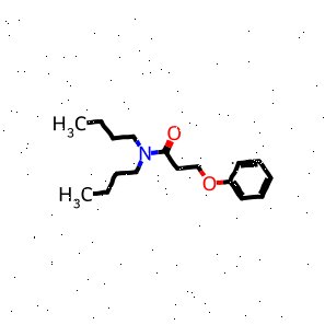 CCCCN(CCCC)C(=O)CCOc1[c]cccc1